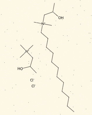 CC(O)C[N+](C)(C)C.CCCCCCCCCCCC[N+](C)(C)CC(C)O.[Cl-].[Cl-]